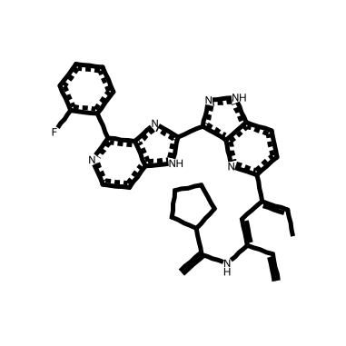 C=C/C(=C\C(=C/C)c1ccc2[nH]nc(-c3nc4c(-c5ccccc5F)nccc4[nH]3)c2n1)NC(=C)C1CCCC1